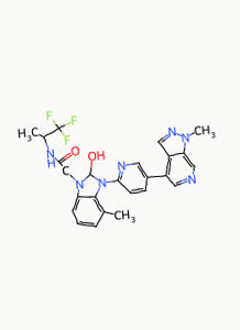 Cc1cccc2c1N(c1ccc(-c3cncc4c3cnn4C)cn1)C(O)N2CC(=O)NC(C)C(F)(F)F